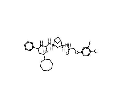 O=C(COc1ccc(Cl)c(F)c1)N[C@@H]1C[C@H](NC2NC(c3ccccc3)CC(C3CCCCCCC3)N2)C2CC1C2